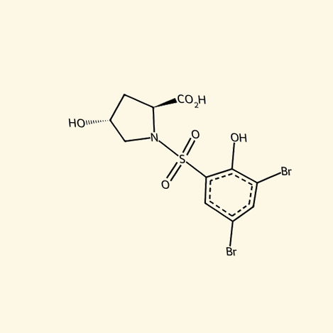 O=C(O)[C@@H]1C[C@@H](O)CN1S(=O)(=O)c1cc(Br)cc(Br)c1O